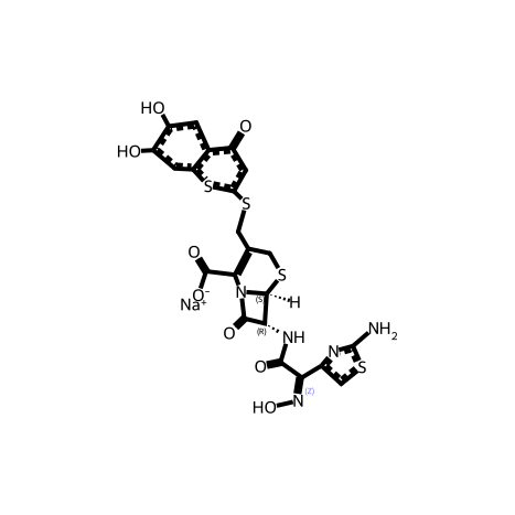 Nc1nc(/C(=N/O)C(=O)N[C@@H]2C(=O)N3C(C(=O)[O-])=C(CSc4cc(=O)c5cc(O)c(O)cc5s4)CS[C@@H]23)cs1.[Na+]